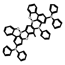 Cc1c2c(cc3c1N(c1ccccc1)c1cc(N(c4ccccc4)c4ccccc4)cc4c1B3Oc1ccccc1-4)B1Oc3ccccc3-c3cc(N(c4ccccc4)c4ccccc4)cc(c31)O2